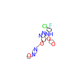 Fc1ccc(Nc2ncnc3cc(OCCCN4CCN(CC5CCCO5)CC4)cc(OC4CCOCC4)c23)cc1Cl